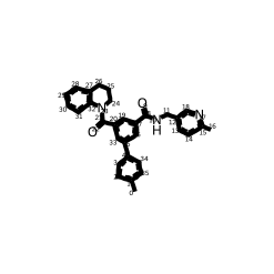 Cc1ccc(-c2cc(C(=O)NCc3ccc(C)nc3)cc(C(=O)N3CCCc4ccccc43)c2)cc1